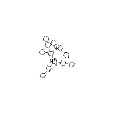 c1ccc(-c2ccc(-c3nc(-c4ccc(-c5ccccc5)cc4)nc(-c4cc(-n5c6cc(-c7ccccc7)ccc6c6ccc(-c7ccccc7)cc65)c5c6ccccc6c6ccccc6c5c4)n3)cc2)cc1